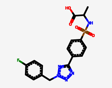 CC(NS(=O)(=O)c1ccc(-c2nnn(Cc3ccc(F)cc3)n2)cc1)C(=O)O